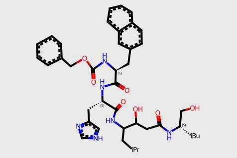 CCC(C)[C@@H](CO)NC(=O)CC(O)C(CC(C)C)NC(=O)[C@H](Cc1c[nH]cn1)NC(=O)[C@H](Cc1ccc2ccccc2c1)NC(=O)OCc1ccccc1